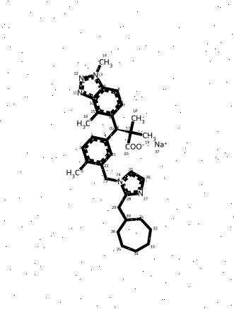 Cc1ccc([C@@H](c2ccc3c(nnn3C)c2C)C(C)(C)C(=O)[O-])cc1Cn1ccnc1CC1CCCCCC1.[Na+]